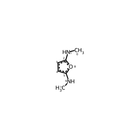 CNc1ccc(NC)o1